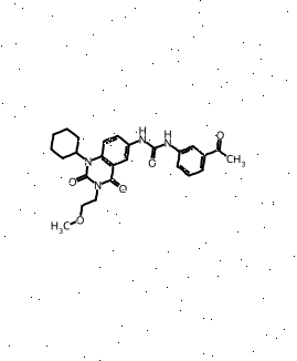 COCCn1c(=O)c2cc(NC(=O)Nc3cccc(C(C)=O)c3)ccc2n(C2CCCCC2)c1=O